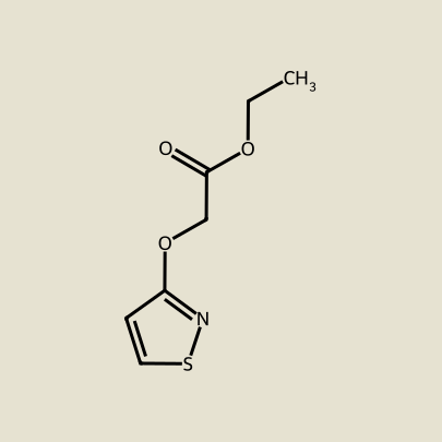 CCOC(=O)COc1ccsn1